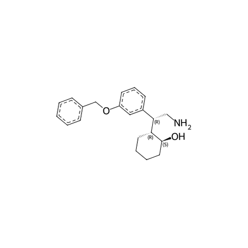 NC[C@@H](c1cccc(OCc2ccccc2)c1)[C@H]1CCCC[C@@H]1O